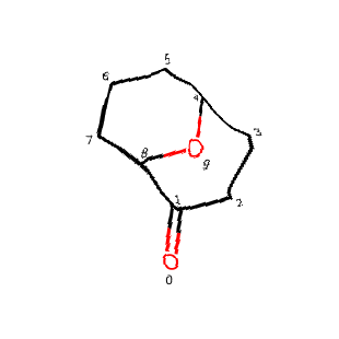 O=C1CCC2CCCC1O2